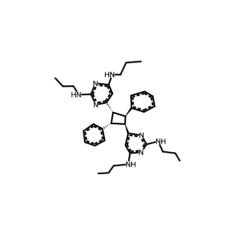 CCCNc1cc([C@H]2[C@H](c3ccccc3)[C@H](c3cc(NCCC)nc(NCCC)n3)[C@H]2c2ccccc2)nc(NCCC)n1